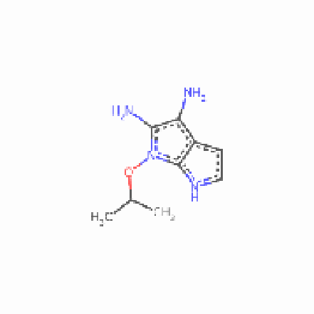 CC(C)On1c(N)c(N)c2cc[nH]c21